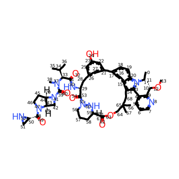 CCn1c(-c2cccnc2[C@H](C)OC)c2c3cc(ccc31)-c1cc(O)cc(c1)C[C@H](NC(=O)[C@H](C(C)C)N(C)C(=O)N1C[C@@H]3[C@H]1CCN3C(=O)[C@@H]1CN1)C(=O)N1CCC[C@H](N1)C(=O)OCC(C)(C)C2